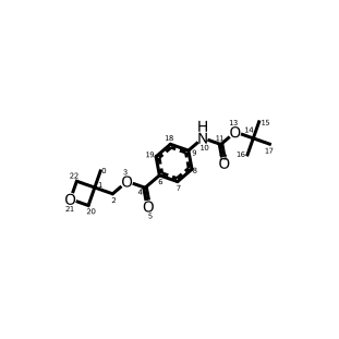 CC1(COC(=O)c2ccc(NC(=O)OC(C)(C)C)cc2)COC1